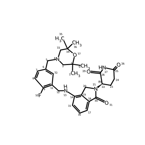 CC1(C)CN(Cc2ccc(F)c(CNc3cccc4c3CN([C@@H]3CCC(=O)NC3=O)C4=O)c2)CC(C)(C)O1